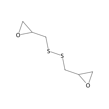 C1OC1CSSCC1CO1